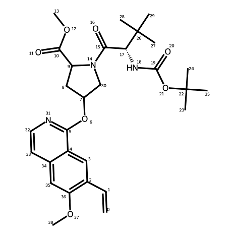 C=Cc1cc2c(OC3CC(C(=O)OC)N(C(=O)[C@@H](NC(=O)OC(C)(C)C)C(C)(C)C)C3)nccc2cc1OC